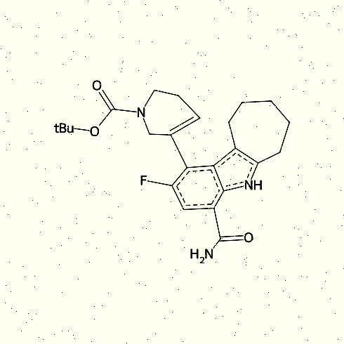 CC(C)(C)OC(=O)N1CCC=C(c2c(F)cc(C(N)=O)c3[nH]c4c(c23)CCCCC4)C1